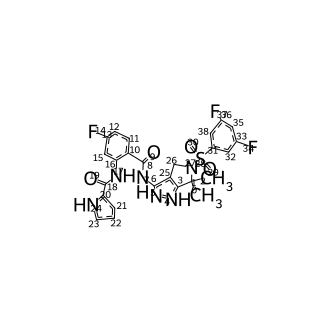 CC1(C)c2[nH]nc(NC(=O)c3ccc(F)cc3NC(=O)c3ccc[nH]3)c2CN1S(=O)(=O)c1cc(F)cc(F)c1